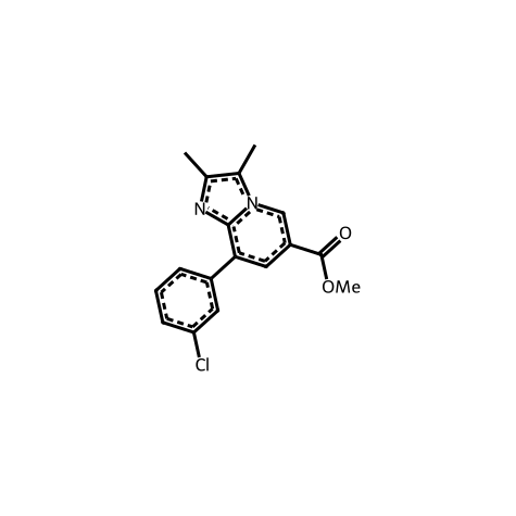 COC(=O)c1cc(-c2cccc(Cl)c2)c2nc(C)c(C)n2c1